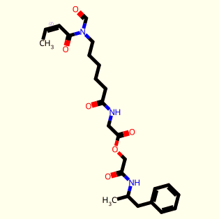 C/C=C\C(=O)N(C=O)CCCCCC(=O)NCC(=O)OCC(=O)NC(C)Cc1ccccc1